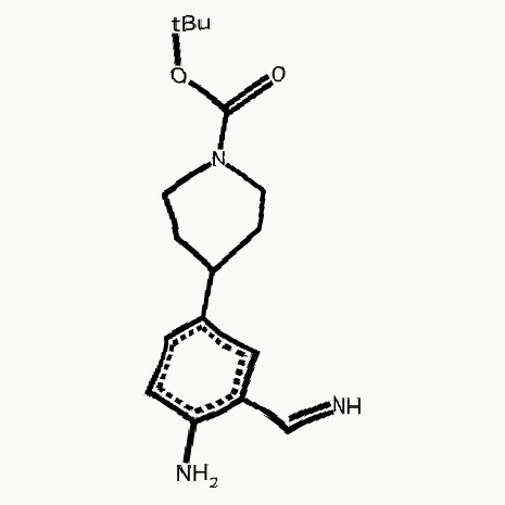 CC(C)(C)OC(=O)N1CCC(c2ccc(N)c(C=N)c2)CC1